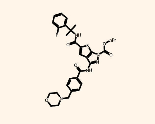 CCCOC(=O)n1nc(NC(=O)c2ccc(CN3CCOCC3)cc2)c2cc(C(=O)NC(C)(C)c3ccccc3F)sc21